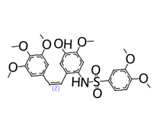 COc1cc(NS(=O)(=O)c2ccc(OC)c(OC)c2)c(/C=C\c2cc(OC)c(OC)c(OC)c2)cc1O